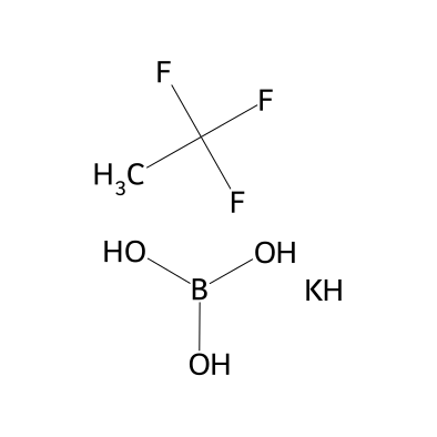 CC(F)(F)F.OB(O)O.[KH]